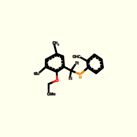 CCC(CC)(Pc1ccccc1C=O)c1cc(C)cc(C(C)(C)C)c1OCOC